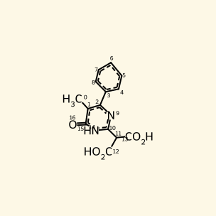 Cc1c(-c2ccccc2)nc(C(C(=O)O)C(=O)O)[nH]c1=O